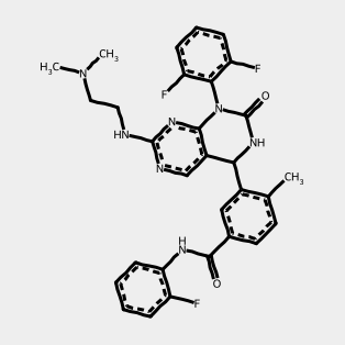 Cc1ccc(C(=O)Nc2ccccc2F)cc1C1NC(=O)N(c2c(F)cccc2F)c2nc(NCCN(C)C)ncc21